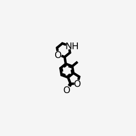 Cc1c(C2CNCCO2)ccc2c1COC2=O